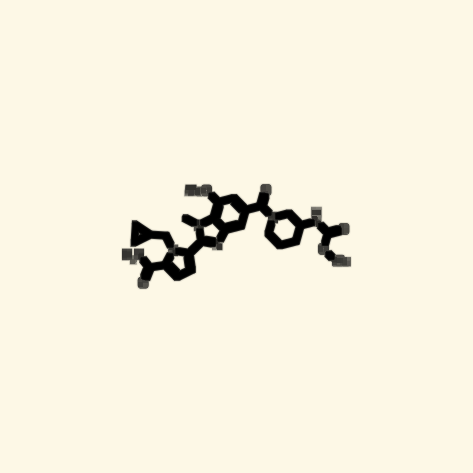 COc1cc(C(=O)N2CCCC(NC(=O)OC(C)(C)C)C2)cc2nc(-c3ccc(C(N)=O)n3CC3CC3)n(C)c12